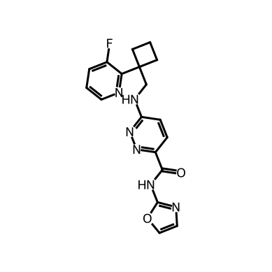 O=C(Nc1ncco1)c1ccc(NCC2(c3ncccc3F)CCC2)nn1